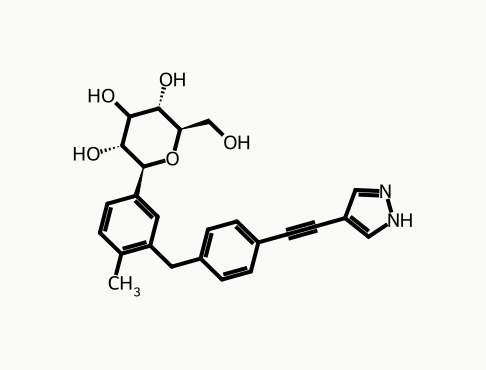 Cc1ccc([C@@H]2O[C@H](CO)[C@@H](O)C(O)[C@H]2O)cc1Cc1ccc(C#Cc2cn[nH]c2)cc1